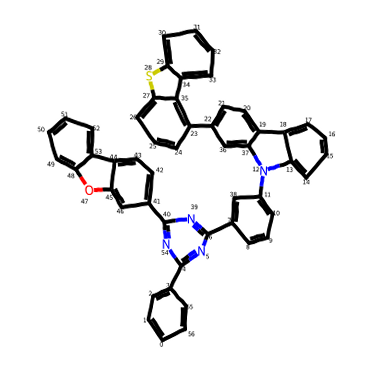 c1ccc(-c2nc(-c3cccc(-n4c5ccccc5c5ccc(-c6cccc7sc8ccccc8c67)cc54)c3)nc(-c3ccc4c(c3)oc3ccccc34)n2)cc1